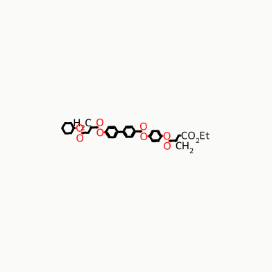 C=C(CC(=O)OCC)C(=O)Oc1ccc(OC(=O)c2ccc(-c3ccc(OC(=O)C(=C)CC(=O)OC4CCCCC4)cc3)cc2)cc1